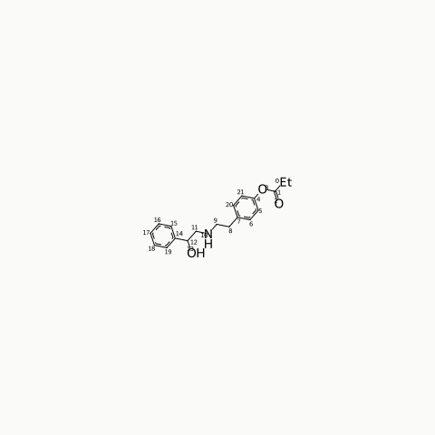 CCC(=O)Oc1ccc(CCNCC(O)c2ccccc2)cc1